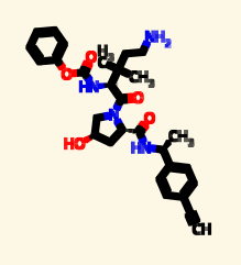 C#Cc1ccc([C@H](C)NC(=O)[C@@H]2C[C@@H](O)CN2C(=O)[C@@H](NC(=O)Oc2ccccc2)C(C)(C)CCN)cc1